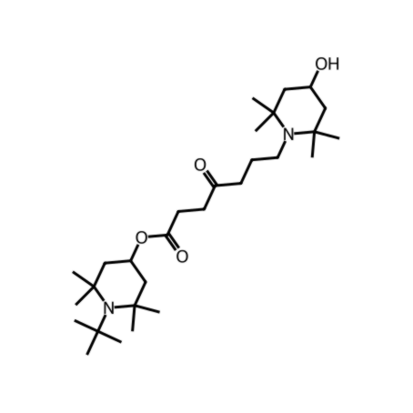 CC(C)(C)N1C(C)(C)CC(OC(=O)CCC(=O)CCCN2C(C)(C)CC(O)CC2(C)C)CC1(C)C